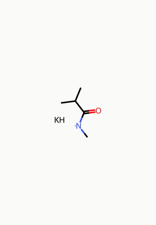 C[N]C(=O)C(C)C.[KH]